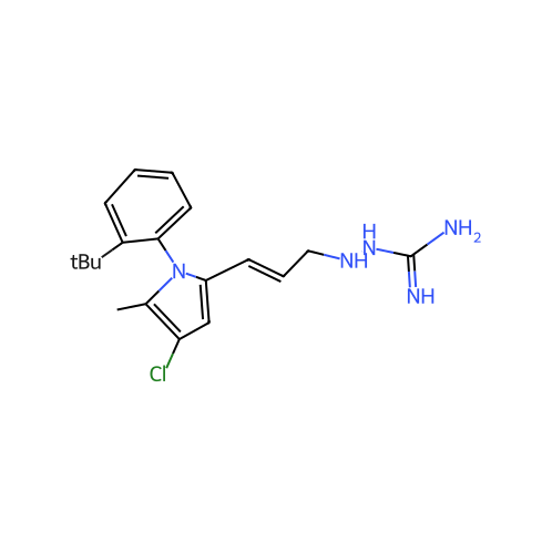 Cc1c(Cl)cc(/C=C/CNNC(=N)N)n1-c1ccccc1C(C)(C)C